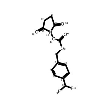 O=C(OCc1ccc(C(F)F)cc1)ON1C(=O)CCC1=O